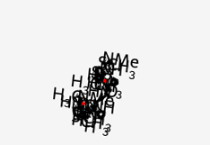 CN[C@@H](C)C(=O)N[C@H]1CCS[C@H]2CC(C)(C)[C@@H](C(=O)N[C@H](C(=O)NCC#CCNC(=O)[C@@H](NC(=O)[C@H]3N4C(=O)[C@@H](NC(=S)[C@H](C)NC)CCS[C@H]4CC3(C)C)c3ccccc3)c3ccccc3)N2C1=O